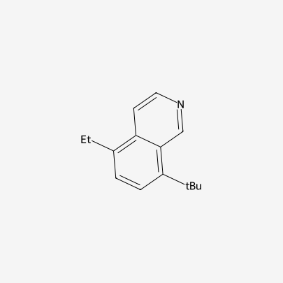 CCc1ccc(C(C)(C)C)c2cnccc12